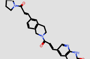 O=C1CCc2cc(C=CC(=O)N3CCc4cc(/C=C/C(=O)N5CCCC5)ccc4C3)cnc2N1